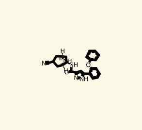 N#CC1C[C@H]2C[C@@H](NC(=O)c3cc(-c4ccccc4Oc4ccccc4)[nH]n3)[C@@H](C1)N2